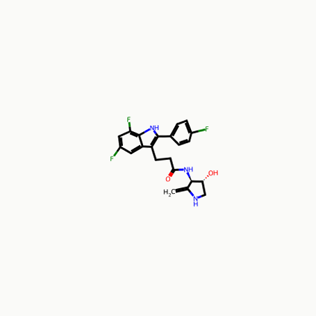 C=C1NC[C@@H](O)[C@@H]1NC(=O)CCc1c(-c2ccc(F)cc2)[nH]c2c(F)cc(F)cc12